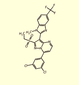 CCS(=O)(=O)c1nn2c(-c3cc(Cl)cc(Cl)c3)ccnc2c1-c1nc2cc(C(F)(F)F)ccc2n1C